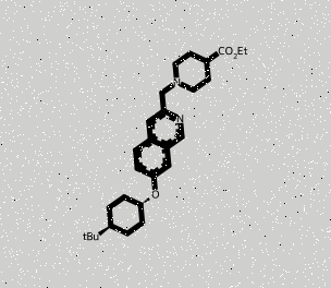 CCOC(=O)C1CCN(Cc2cc3ccc(O[C@H]4CC[C@H](C(C)(C)C)CC4)cc3cn2)CC1